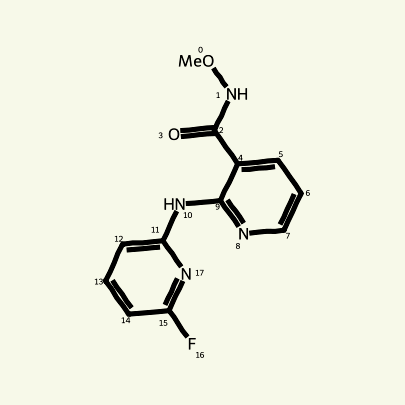 CONC(=O)c1cccnc1Nc1cccc(F)n1